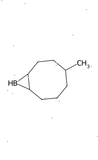 CC1CCCC2BC2CC1